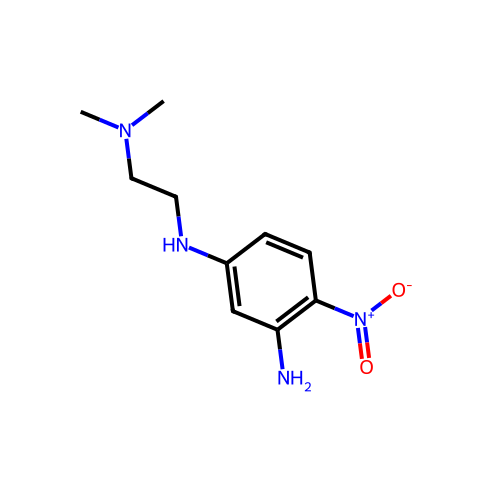 CN(C)CCNc1ccc([N+](=O)[O-])c(N)c1